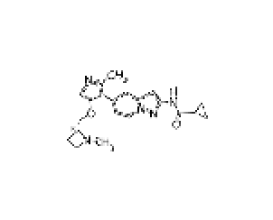 CN1CC[C@@H]1COc1cnn(C)c1-c1ccn2nc(NC(=O)C3CC3)cc2c1